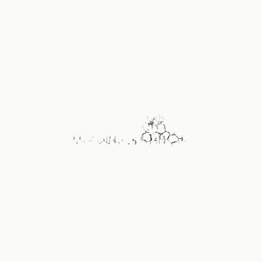 COCCCNCCCCOc1ccc(C2c3[nH]c4ccc(Cl)cc4c3CCN2C(=O)OCC(C)C)cc1